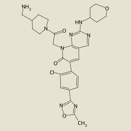 Cc1nc(-c2ccc(-c3cc4cnc(NC5CCOCC5)nc4n(CC(=O)N4CCC(CN)CC4)c3=O)c(Cl)c2)no1